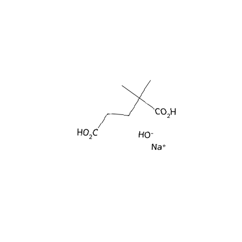 CC(C)(CCC(=O)O)C(=O)O.[Na+].[OH-]